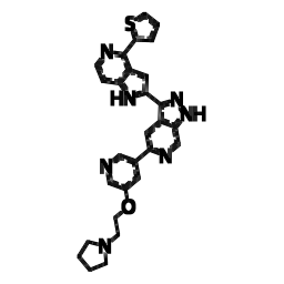 c1csc(-c2nccc3[nH]c(-c4n[nH]c5cnc(-c6cncc(OCCN7CCCC7)c6)cc45)cc23)c1